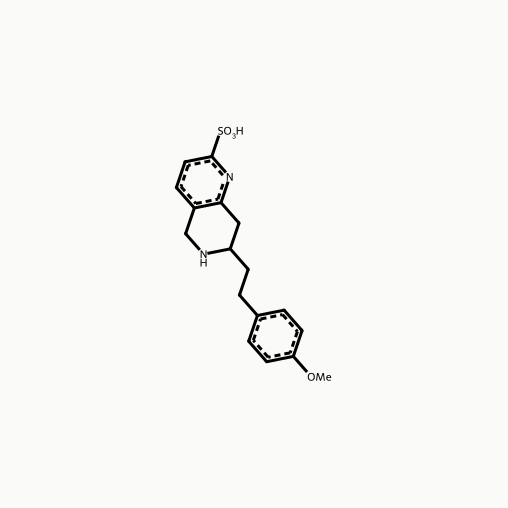 COc1ccc(CCC2Cc3nc(S(=O)(=O)O)ccc3CN2)cc1